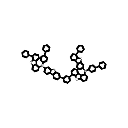 c1ccc(-c2ccc(N(c3ccc4c(c3)sc3cc(-c5cccc(-c6cccc7c6oc6cccc(N(c8ccc(-c9ccccc9)cc8)c8ccc9c(c8)sc8c(-c%10ccccc%10)cccc89)c67)c5)ccc34)c3cccc4oc5c(-c6ccccc6)cccc5c34)cc2)cc1